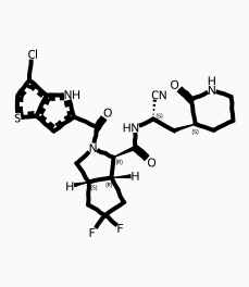 N#C[C@H](C[C@@H]1CCCNC1=O)NC(=O)[C@H]1[C@@H]2CC(F)(F)C[C@@H]2CN1C(=O)c1cc2scc(Cl)c2[nH]1